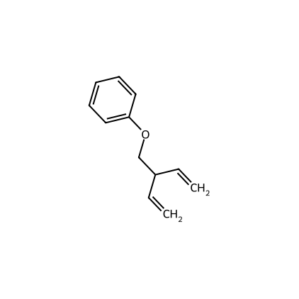 C=CC(C=C)COc1ccccc1